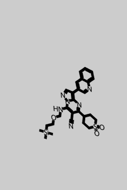 C[Si](C)(C)CCOCNc1c(C#N)c(C2CCS(=O)(=O)CC2)nc2c(-c3cnc4ccccc4c3)cnn12